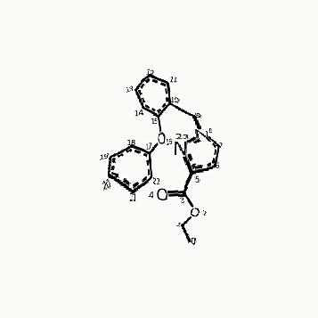 CCOC(=O)c1ccn(Cc2ccccc2Oc2ccccc2)n1